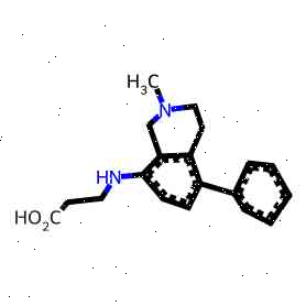 CN1CCc2c(-c3ccccc3)ccc(NCCC(=O)O)c2C1